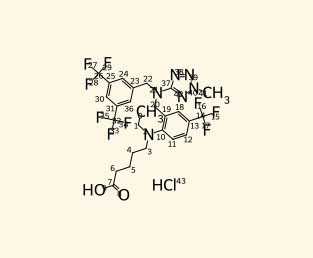 CCN(CCCCC(=O)O)c1ccc(C(F)(F)F)cc1CN(Cc1cc(C(F)(F)F)cc(C(F)(F)F)c1)c1nnn(C)n1.Cl